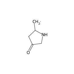 [CH2]C1CC(=O)CN1